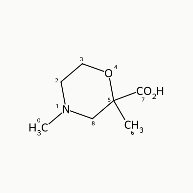 CN1CCOC(C)(C(=O)O)C1